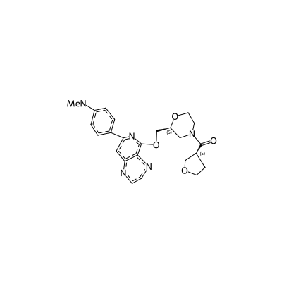 CNc1ccc(-c2cc3nccnc3c(OC[C@@H]3CN(C(=O)[C@H]4CCOC4)CCO3)n2)cc1